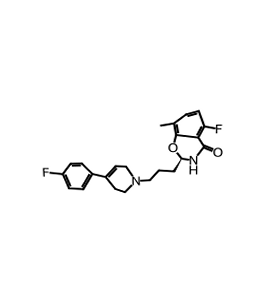 Cc1ccc(F)c2c1O[C@H](CCCN1CC=C(c3ccc(F)cc3)CC1)NC2=O